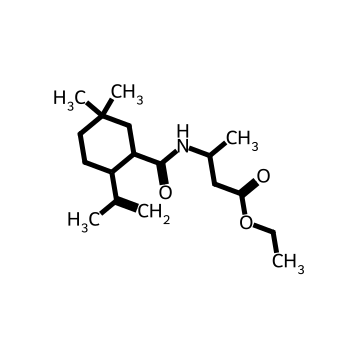 C=C(C)C1CCC(C)(C)CC1C(=O)NC(C)CC(=O)OCC